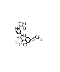 CCC(=O)Nc1cc(C(=O)NC(C)c2ccc(OCC(F)(F)F)cc2Cl)ccn1